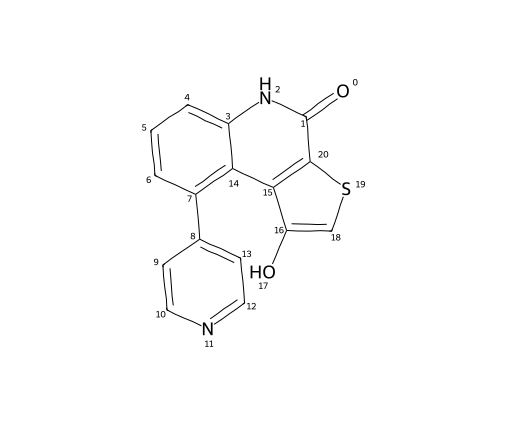 O=c1[nH]c2cccc(-c3ccncc3)c2c2c(O)csc12